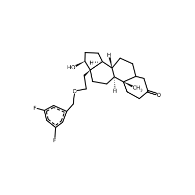 C[C@]12CCC(=O)CC1CC[C@H]1[C@@H]3CC[C@H](O)[C@@]3(CCOCc3cc(F)cc(F)c3)CC[C@@H]12